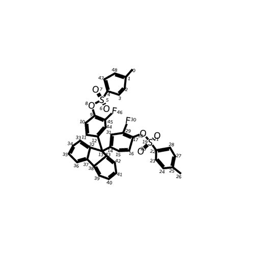 Cc1ccc(S(=O)(=O)Oc2ccc(C3(c4ccc(OS(=O)(=O)c5ccc(C)cc5)c(F)c4)c4ccccc4-c4ccccc43)cc2F)cc1